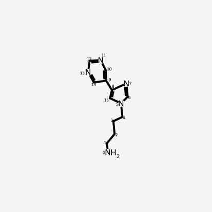 NCCCCn1cnc(-c2cncnc2)c1